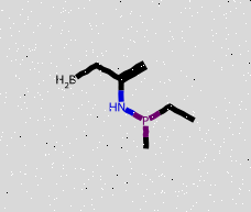 BCC(=C)NP(C)CC